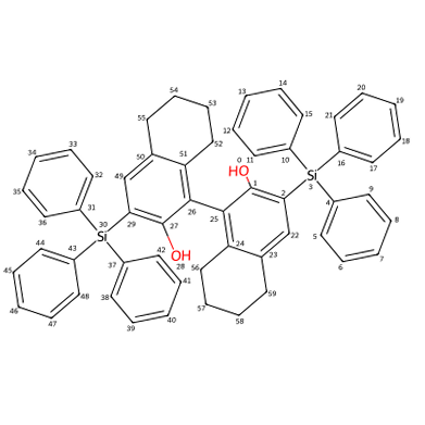 Oc1c([Si](c2ccccc2)(c2ccccc2)c2ccccc2)cc2c(c1-c1c(O)c([Si](c3ccccc3)(c3ccccc3)c3ccccc3)cc3c1CCCC3)CCCC2